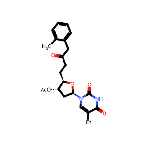 CCc1cn([C@H]2C[C@H](OC(C)=O)[C@@H](CCC(=O)Cc3ccccc3C)O2)c(=O)[nH]c1=O